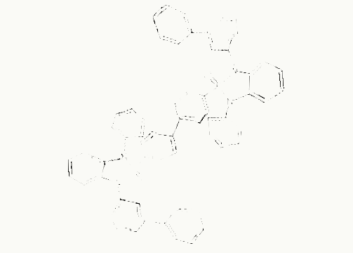 O=P1(c2ccc(-c3ccc(P4(=O)N(c5ccccc5)c5ccccc5N4c4cccc(-c5ccccc5)c4)cc3)cc2)N(c2ccccc2)c2ccccc2N1c1cccc(-c2ccccc2)c1